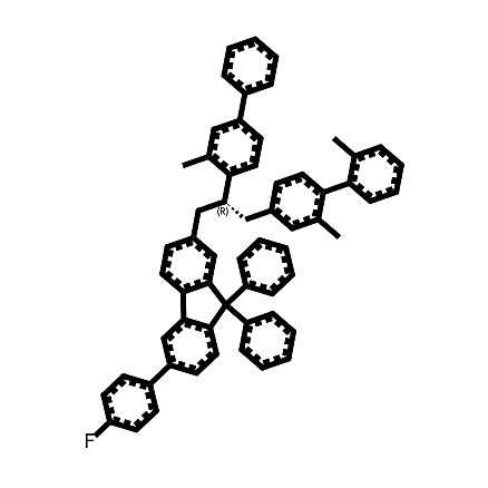 Cc1ccccc1-c1ccc(C[C@H](Cc2ccc3c(c2)C(c2ccccc2)(c2ccccc2)c2ccc(-c4ccc(F)cc4)cc2-3)c2ccc(-c3ccccc3)cc2C)cc1C